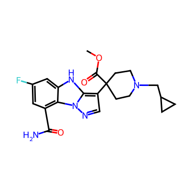 COC(=O)C1(c2cnn3c2[nH]c2cc(F)cc(C(N)=O)c23)CCN(CC2CC2)CC1